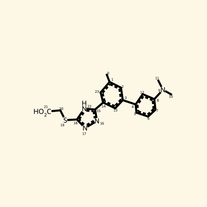 Cc1cc(-c2cccc(N(C)C)c2)cc(-c2nnc(SCC(=O)O)[nH]2)c1